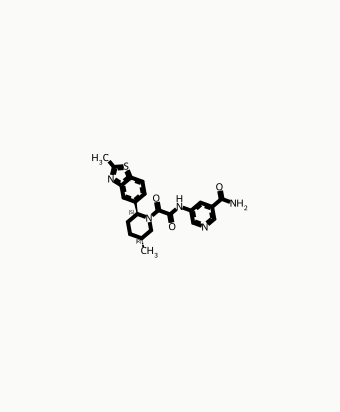 Cc1nc2cc([C@@H]3CC[C@@H](C)CN3C(=O)C(=O)Nc3cncc(C(N)=O)c3)ccc2s1